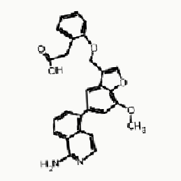 COc1cc(-c2cccc3c(N)nccc23)cc2c(COc3ccccc3CC(=O)O)coc12